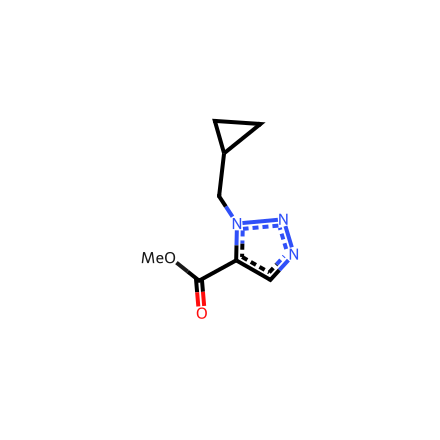 COC(=O)c1cnnn1CC1CC1